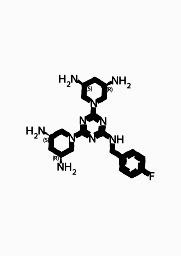 N[C@@H]1C[C@H](N)CN(c2nc(NCc3ccc(F)cc3)nc(N3C[C@H](N)C[C@H](N)C3)n2)C1